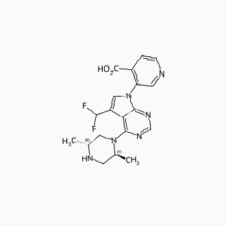 C[C@@H]1CN(c2ncnc3c2c(C(F)F)cn3-c2cnccc2C(=O)O)[C@@H](C)CN1